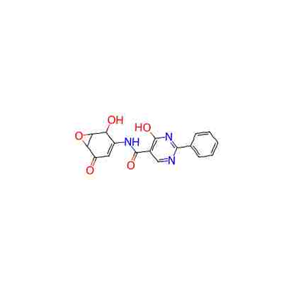 O=C(NC1=CC(=O)C2OC2C1O)c1cnc(-c2ccccc2)nc1O